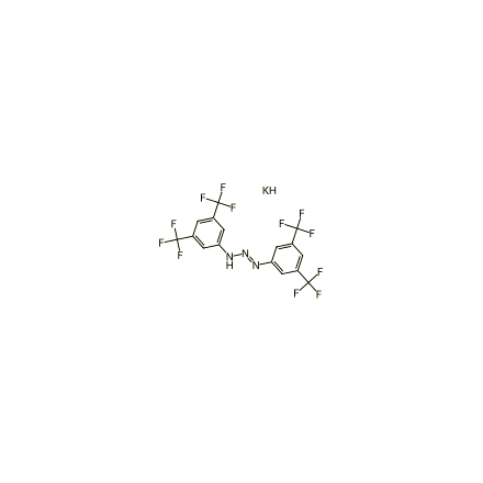 FC(F)(F)c1cc(/N=N/Nc2cc(C(F)(F)F)cc(C(F)(F)F)c2)cc(C(F)(F)F)c1.[KH]